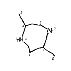 CC1CNC(C)C[N]1